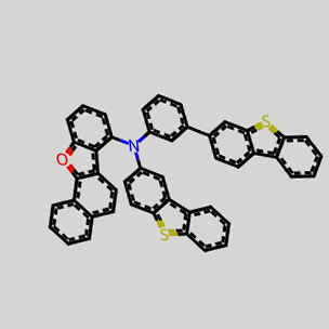 c1cc(-c2ccc3c(c2)sc2ccccc23)cc(N(c2ccc3sc4ccccc4c3c2)c2cccc3oc4c5ccccc5ccc4c23)c1